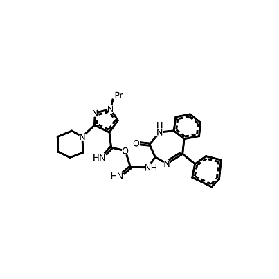 CC(C)n1cc(C(=N)OC(=N)NC2N=C(c3ccccc3)c3ccccc3NC2=O)c(N2CCCCC2)n1